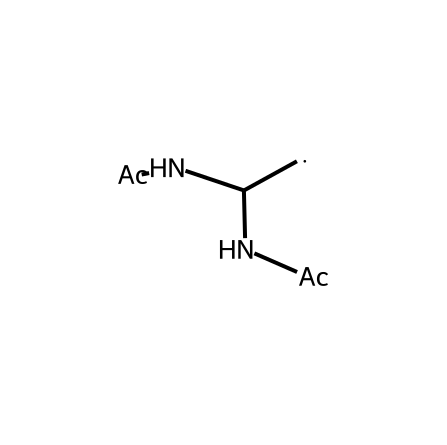 [CH2]C(NC(C)=O)NC(C)=O